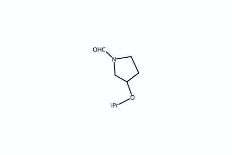 CC(C)OC1CCN(C=O)C1